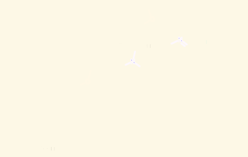 [2H]C([2H])(c1ccco1)N(Cc1ccc(F)nc1)Cc1ccccc1OCCCCCC(=O)O